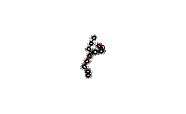 c1ccc(-c2ccc(-c3cccc(N(c4ccc(-c5ccc(-c6cccc(-c7ccc8ccccc8c7)c6)cc5)cc4)c4ccc(-c5cccc6oc7ccccc7c56)cc4)c3)cc2)cc1